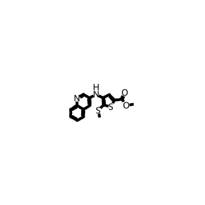 COC(=O)c1cc(Nc2cnc3ccccc3c2)c(SC)s1